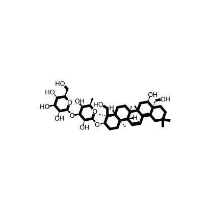 C[C@H]1O[C@@H](O[C@H]2CC[C@@]3(C)[C@@H](CC[C@]4(C)[C@@H]3C=CC3=C5CC(C)(C)CC[C@]5(CO)[C@@H](O)C[C@]34C)[C@]2(C)CO)[C@H](O)[C@@H](O[C@@H]2O[C@H](CO)[C@@H](O)[C@H](O)[C@H]2O)[C@H]1O